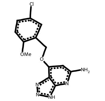 COc1ccc(Cl)cc1COc1cc(N)nc2[nH]nnc12